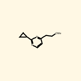 COCCc1c[c]nc(C2CC2)n1